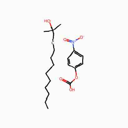 CCCCCCCCCCCC(C)(C)O.O=C(O)Oc1ccc([N+](=O)[O-])cc1